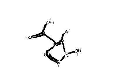 O=C(O)c1cnn(O)c1Br